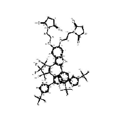 CC(C)(C)c1ccc(-c2oc3cc(OCCN4C(=O)CCC4=O)c(OCCN4C(=O)CCC4=O)cc3c2C2=C(c3cc(-c4cc(C(C)(C)C)cs4)sc3-c3cc(C(C)(C)C)cs3)C(F)(F)C(F)(F)C2(F)F)cc1